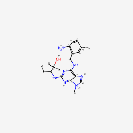 CCC(Nc1nc(NCc2cc(C)ccc2N)c2ncn(C)c2n1)C(C)(C)O